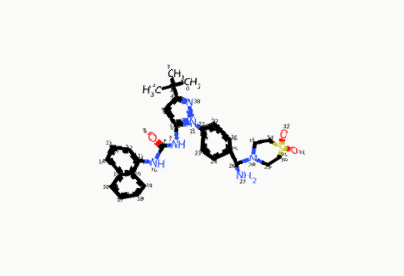 CC(C)(C)c1cc(NC(=O)Nc2cccc3ccccc23)n(-c2ccc(C(N)N3CCS(=O)(=O)CC3)cc2)n1